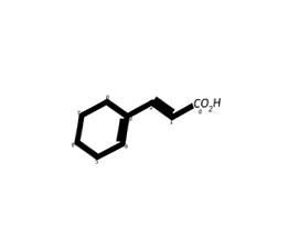 O=C(O)/C=C/C1=CCCCC1